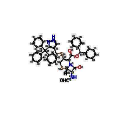 O=CN[C@@H]1C(=O)N2C(C(=O)OC(c3ccccc3)c3ccccc3)=C(SCc3c[nH]nc3C(c3ccccc3)(c3ccccc3)c3ccccc3)CS[C@@H]12